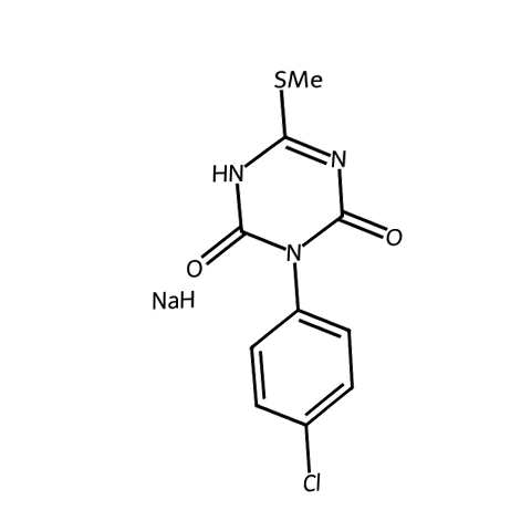 CSc1nc(=O)n(-c2ccc(Cl)cc2)c(=O)[nH]1.[NaH]